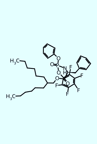 CCCCCCC(CCCCCC)COC(=O)[C@H](Cc1ccccc1)NP(=O)(Oc1ccccc1)Oc1c(F)c(F)c(F)c(F)c1F